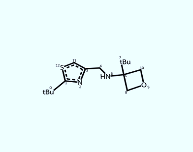 CC(C)(C)c1nc(CNC2(C(C)(C)C)COC2)cs1